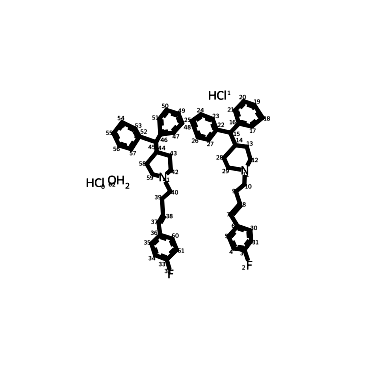 Cl.Cl.Fc1ccc(C=CCCN2CCC(C(c3ccccc3)c3ccccc3)CC2)cc1.Fc1ccc(C=CCCN2CCC(C(c3ccccc3)c3ccccc3)CC2)cc1.O